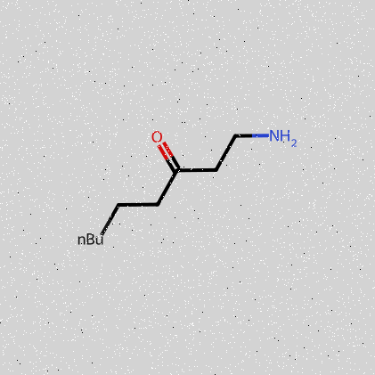 CCCCCCC(=O)CCN